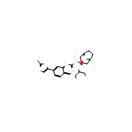 Cc1ncc(-c2ccc3cnc(NC(=O)N4[C@@H]5CC[C@H]4CC(NC(CF)CF)C5)nc3c2)o1